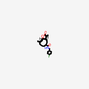 C=C1C(=O)O[C@@H]2/C=C(\C)CC/C=C(/C(=O)NCc3ccc(F)cc3)CC[C@@H]12